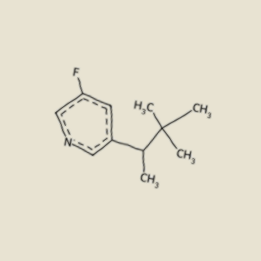 CC(c1cncc(F)c1)C(C)(C)C